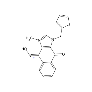 C[n+]1cn(Cc2cccs2)c2c1/C(=N\O)c1ccccc1C2=O